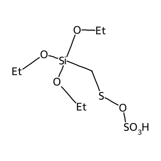 CCO[Si](CSOS(=O)(=O)O)(OCC)OCC